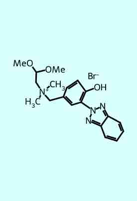 COC(C[N+](C)(C)Cc1ccc(O)c(-n2nc3ccccc3n2)c1)OC.[Br-]